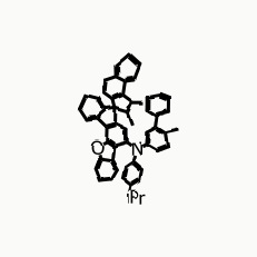 Cc1ccc(N(c2ccc(C(C)C)cc2)c2cc3c(c4oc5ccccc5c24)-c2ccccc2C32c3ccc4ccccc4c3C(C)C2C)cc1-c1ccccc1